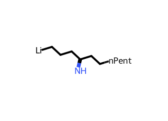 [Li][CH2]CCC(=N)CCCCCCC